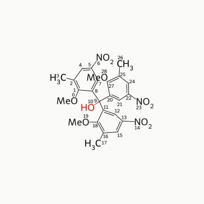 COc1c(C)cc([N+](=O)[O-])cc1C(O)(c1cc([N+](=O)[O-])cc(C)c1OC)c1cc([N+](=O)[O-])cc(C)c1OC